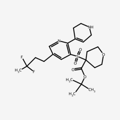 CC(F)(F)CCc1cnc(C2=CCNCC2)c(S(=O)(=O)C2(C(=O)OC(C)(C)C)CCOCC2)c1